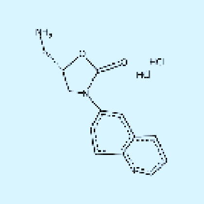 Cl.Cl.NC[C@H]1CN(c2ccc3ncccc3c2)C(=O)O1